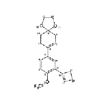 FC(F)(F)Oc1ccc(C2=CCC3(CC2)OCCO3)cc1C1=CCC1